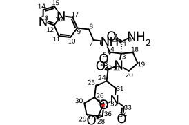 NC(=O)[C@]1(C(=O)NCCc2ccc3nccn3c2)CCCN1C(=O)[C@H](CC1CCCC1)CN(C=O)OC=O